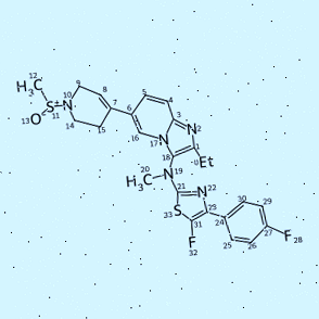 CCc1nc2ccc(C3=CCN([S+](C)[O-])CC3)cn2c1N(C)c1nc(-c2ccc(F)cc2)c(F)s1